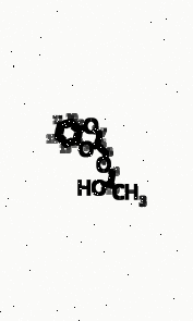 CC(O)COCC1COc2ccccc2O1